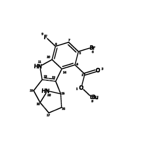 CC(C)(C)OC(=O)c1c(Br)cc(F)c2[nH]c3c(c12)C1CCC(C3)N1